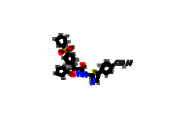 O=C(O)c1ccc(-c2cnc(NC(=O)C(OC3CCCC3)c3ccc(S(=O)(=O)C4CCCCC4)cc3)s2)cc1